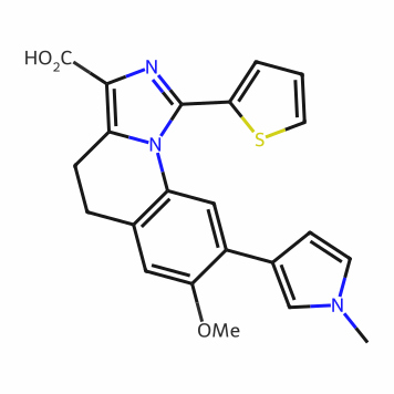 COc1cc2c(cc1-c1ccn(C)c1)-n1c(-c3cccs3)nc(C(=O)O)c1CC2